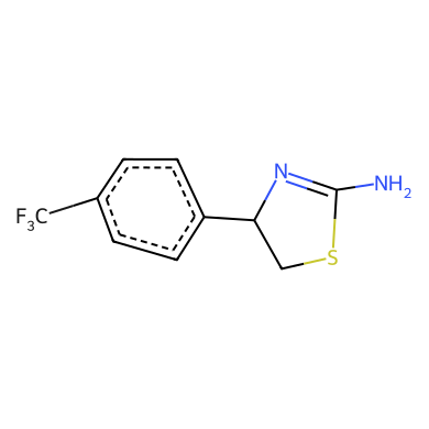 NC1=NC(c2ccc(C(F)(F)F)cc2)CS1